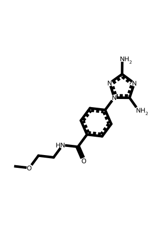 COCCNC(=O)c1ccc(-n2nc(N)nc2N)cc1